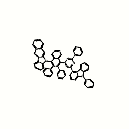 c1ccc(-c2nc(-c3c(-c4ccccc4)c(-c4ccccc4)c(-n4c5ccccc5c5cc6ccccc6cc54)c4ccccc34)nc(-c3cccc4c3c3ccccc3n4-c3ccccc3)n2)cc1